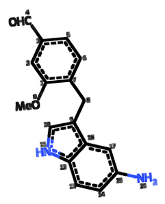 COc1cc(C=O)ccc1Cc1c[nH]c2ccc(N)cc12